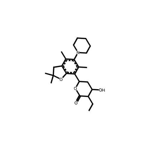 CCC1C(=O)OC(c2c(C)c(N3CCCCC3)c(C)c3c2OC(C)(C)C3)CC1O